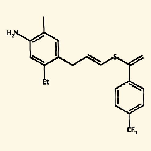 C=C(S/C=C/Cc1cc(C)c(N)cc1CC)c1ccc(C(F)(F)F)cc1